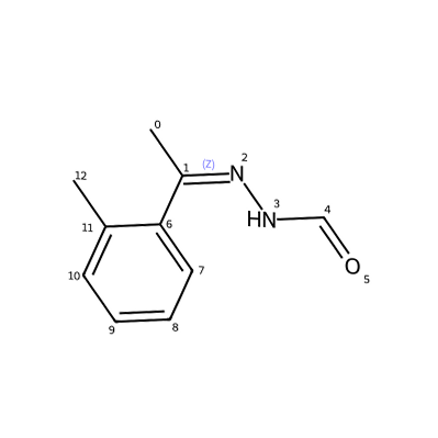 C/C(=N/NC=O)c1ccccc1C